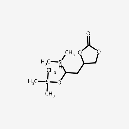 C[SiH](C)C(CC1COC(=O)O1)O[Si](C)(C)C